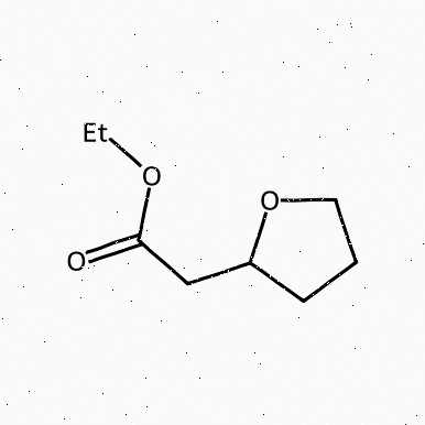 CCOC(=O)CC1CCCO1